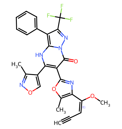 C#C/C=C(/OC)c1nc(-c2c(-c3conc3C)[nH]c3c(-c4ccccc4)c(C(F)(F)F)nn3c2=O)oc1C